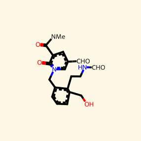 CNC(=O)c1cc(C=O)cn(Cc2cccc(CO)c2CCNC=O)c1=O